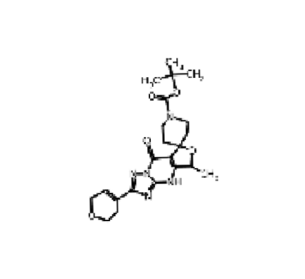 CC1OC2(CCN(C(=O)OC(C)(C)C)CC2)c2c1[nH]c1nc(C3=CCOCC3)nn1c2=O